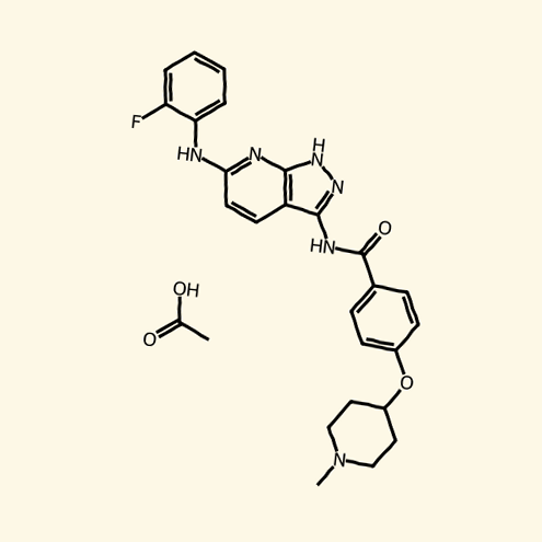 CC(=O)O.CN1CCC(Oc2ccc(C(=O)Nc3n[nH]c4nc(Nc5ccccc5F)ccc34)cc2)CC1